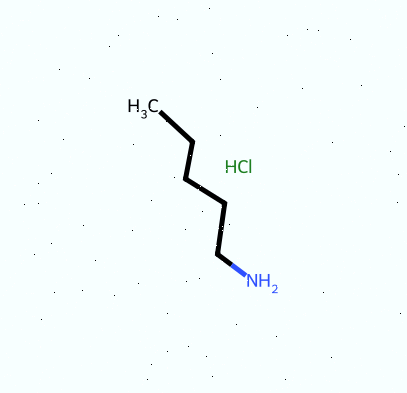 CCCCCN.Cl